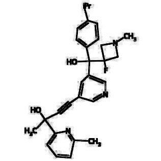 Cc1cccc(C(C)(O)C#Cc2cncc(C(O)(c3ccc(C(C)C)cc3)C3(F)CN(C)C3)c2)n1